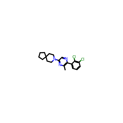 Cc1nc(N2CCC3(CCCC3)CC2)cnc1-c1cccc(Cl)c1Cl